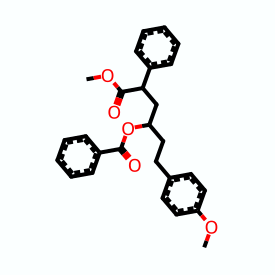 COC(=O)C(CC(CCc1ccc(OC)cc1)OC(=O)c1ccccc1)c1ccccc1